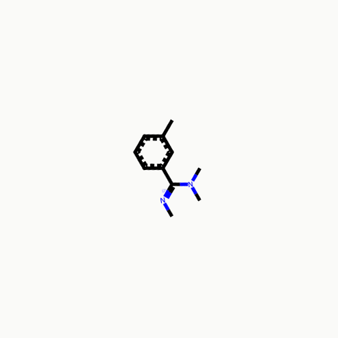 C/N=C(/c1cccc(C)c1)N(C)C